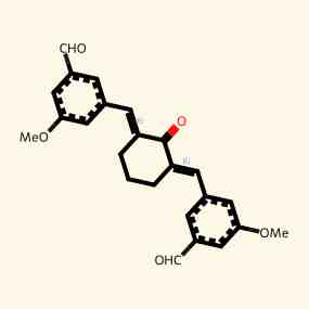 COc1cc(C=O)cc(/C=C2\CCC/C(=C\c3cc(C=O)cc(OC)c3)C2=O)c1